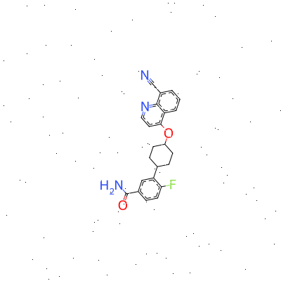 N#Cc1cccc2c(OC3CCC(c4cc(C(N)=O)ccc4F)CC3)ccnc12